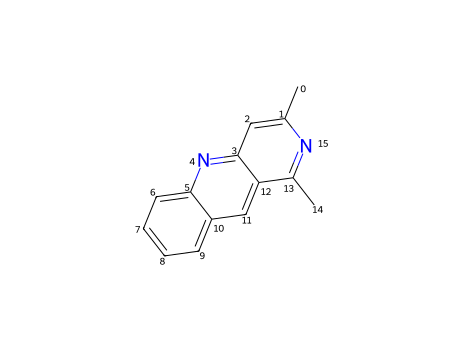 Cc1cc2nc3ccccc3cc2c(C)n1